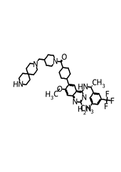 COc1cc2nc(C)nc(N[C@H](C)c3cc(N)cc(C(F)(F)F)c3)c2cc1C1CCC(C(=O)N2CCC(CN3CCC4(CCNCC4)CC3)CC2)CC1